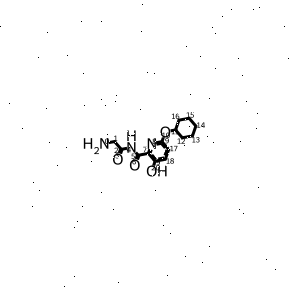 NCC(=O)NC(=O)c1nc(OC2CCCCC2)ccc1O